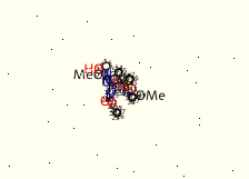 COC[C@]1(O)CCCC[C@H]1n1cnc(C(=O)N2CCN(C(=O)OCc3ccccc3)C[C@H]2CCN(c2cccc(OC)c2)S(=O)(=O)c2ccccc2[N+](=O)[O-])c1-c1ccccc1